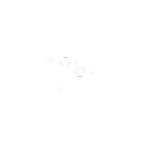 COc1ccc(Nc2nc(C)cc(NCC3CCCCC3)n2)cc1OCCCN1CCCC1